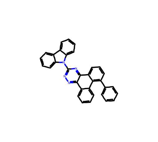 c1ccc(-c2cccc3c4nc(-n5c6ccccc6c6ccccc65)nnc4c4ccccc4c23)cc1